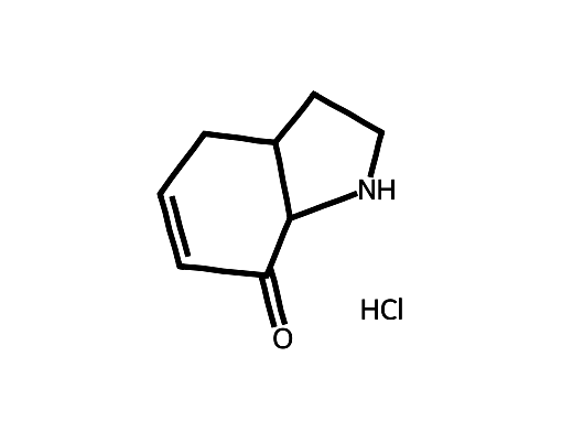 Cl.O=C1C=CCC2CCNC12